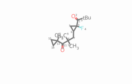 CC(C)(C)C(=O)C1(F)CC1CC(C)(C)C(=O)C1(C(F)(F)F)CC1